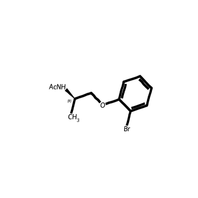 CC(=O)N[C@H](C)COc1ccccc1Br